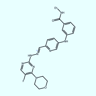 CCNC(=O)c1cccc(Nc2ccc(/C=N/Nc3ncc(F)c(N4CCOCC4)n3)nc2)c1